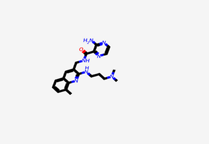 Cc1cccc2cc(CNC(=O)c3nccnc3N)c(NCCCN(C)C)nc12